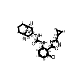 CN1[C@@H]2CCC[C@H]1C[C@@H](NC(=O)Nc1cccc(Cl)c1-c1nc(C3CC3)no1)C2